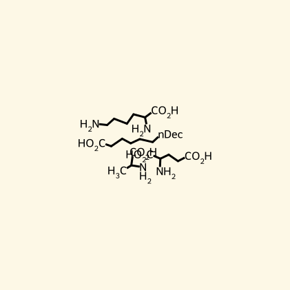 CC(N)C(=O)O.CCCCCCCCCCCCCCCC(=O)O.NC(CCC(=O)O)C(=O)O.NCCCCC(N)C(=O)O